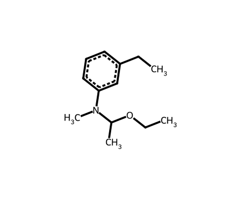 CCOC(C)N(C)c1cccc(CC)c1